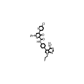 CC(C)n1cc(-c2ccc(Cl)cn2)c(=O)c(C(=O)Nc2ccc(-c3cn(CCF)c4ncnc(N)c34)cc2)n1